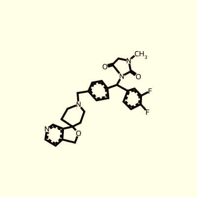 CN1CC(=O)N(C(c2ccc(CN3CCC4(CC3)OCc3ccncc34)cc2)c2ccc(F)c(F)c2)C1=O